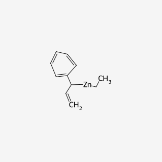 C=C[CH]([Zn][CH2]C)c1ccccc1